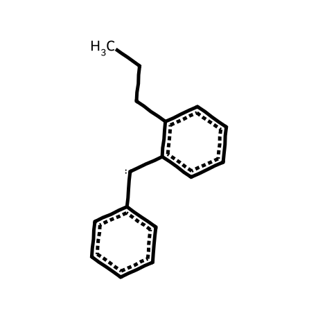 CCCc1ccccc1[C]c1ccccc1